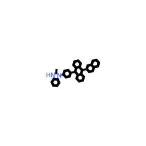 CC1Nc2ccccc2N1c1ccc(-c2c3ccccc3c(-c3ccc4ccccc4c3)c3ccccc23)cc1